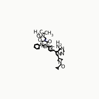 CC(C)N(C=O)/C=C(/C(=O)Nc1ccc(-c2cc(C3CN(C(=O)C4CC4)C3)n3ncnc(N)c23)cc1)C(=O)N(C)c1ccccc1